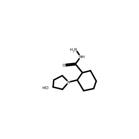 Cl.NNC(=O)C1CCCCC1N1CCCC1